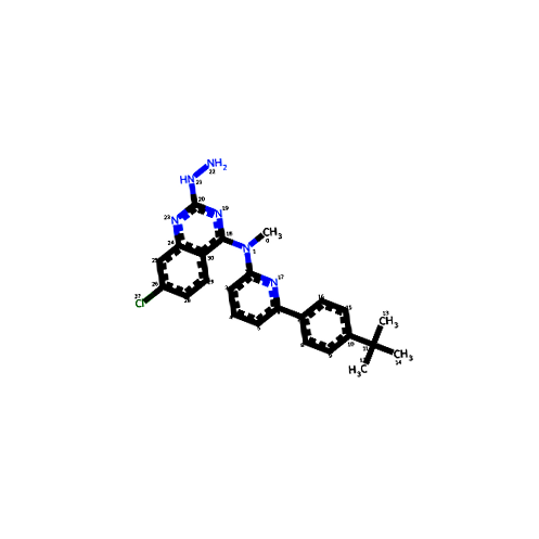 CN(c1cccc(-c2ccc(C(C)(C)C)cc2)n1)c1nc(NN)nc2cc(Cl)ccc12